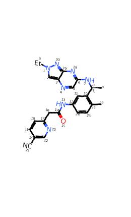 CCn1cc2ncc(N[C@@H](C)c3cc(NC(=O)Cc4ccc(C#N)cn4)ccc3C)nc2n1